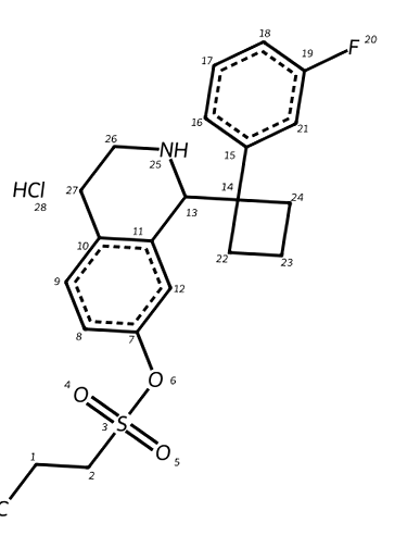 CCCS(=O)(=O)Oc1ccc2c(c1)C(C1(c3cccc(F)c3)CCC1)NCC2.Cl